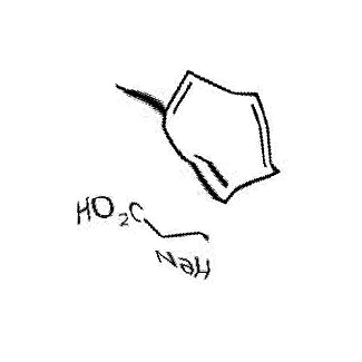 CC(=O)O.Cc1ccccc1.[NaH]